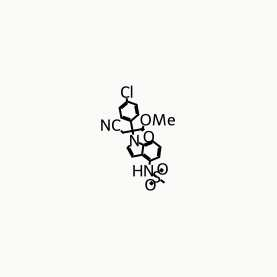 COC(=O)C(CC#N)(c1ccc(Cl)cc1)n1ccc2c(NS(C)(=O)=O)cccc21